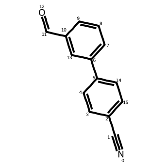 N#Cc1ccc(-c2cccc(C=O)c2)cc1